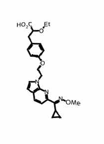 CCOC(Cc1ccc(OCCn2ccc3ccc(C(=NOC)C4CC4)nc32)cc1)C(=O)O